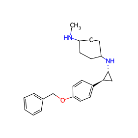 CNC1CCC(N[C@@H]2C[C@H]2c2ccc(OCc3ccccc3)cc2)CC1